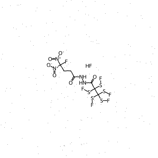 F.O=C(CCC(F)([N+](=O)[O-])[N+](=O)[O-])NNC(=O)C(SF)(SF)C(SF)(SF)SF